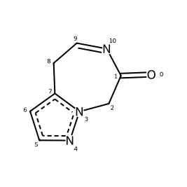 O=C1Cn2nccc2CC=N1